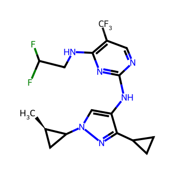 C[C@@H]1CC1n1cc(Nc2ncc(C(F)(F)F)c(NCC(F)F)n2)c(C2CC2)n1